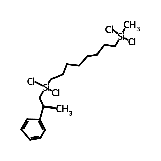 CC(C[Si](Cl)(Cl)CCCCCCCC[Si](C)(Cl)Cl)c1ccccc1